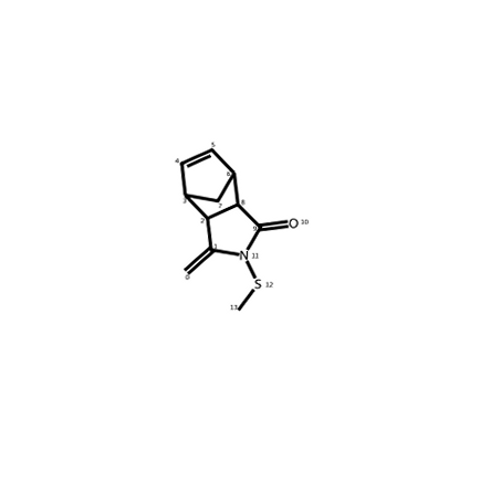 C=C1C2C3C=CC(C3)C2C(=O)N1SC